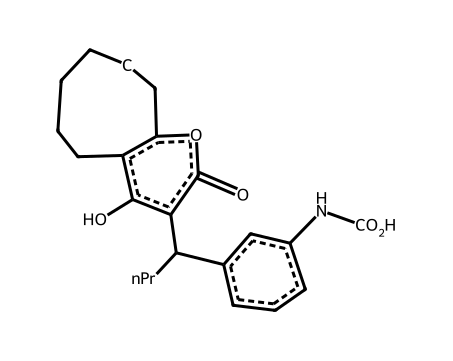 CCCC(c1cccc(NC(=O)O)c1)c1c(O)c2c(oc1=O)CCCCCC2